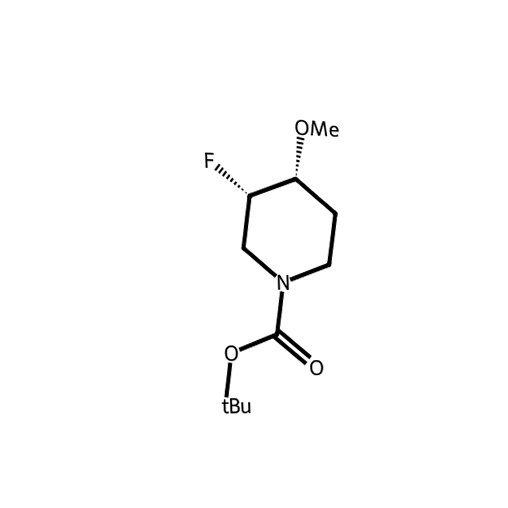 CO[C@@H]1CCN(C(=O)OC(C)(C)C)C[C@@H]1F